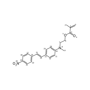 C=C(C)C(=O)OCCN(C)c1ccc(C=Cc2ccc([N+](=O)[O-])cc2)cc1